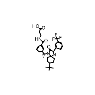 C[C@H](c1cccc(C(=O)NCCC(=O)O)c1)N1C(=O)C(c2cccc(C(F)(F)F)c2)=NC12CCC(C(C)(C)C)CC2